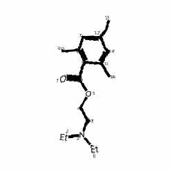 CCN(CC)CCOC(=O)c1c(C)cc(C)cc1C